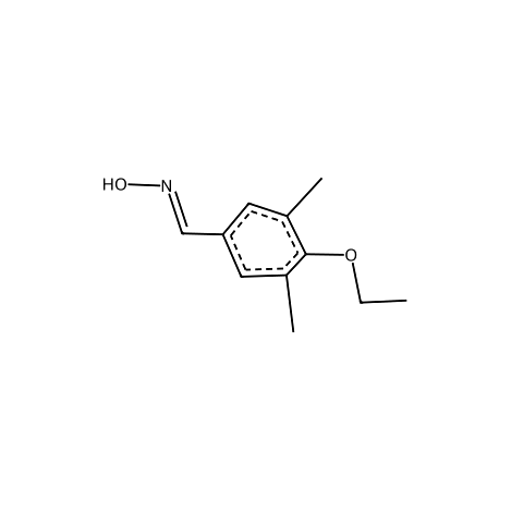 CCOc1c(C)cc(C=NO)cc1C